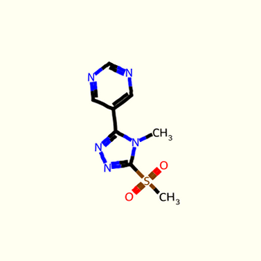 Cn1c(-c2cncnc2)nnc1S(C)(=O)=O